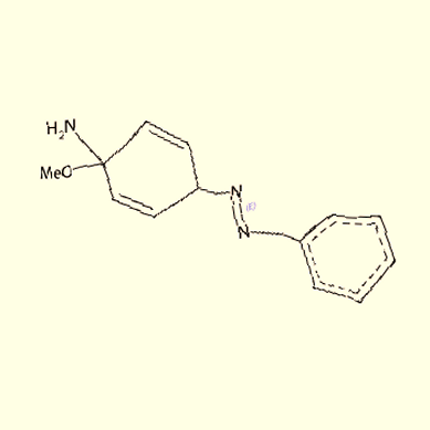 COC1(N)C=CC(/N=N/c2ccccc2)C=C1